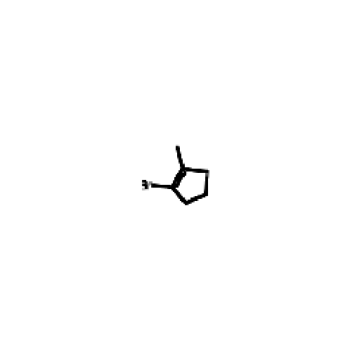 CC1=C(Br)CCC1